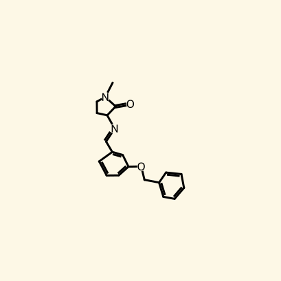 CN1CCC(/N=C/c2cccc(OCc3ccccc3)c2)C1=O